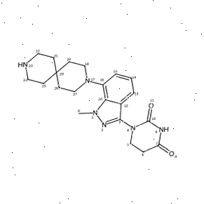 Cn1nc(N2CCC(=O)NC2=O)c2cccc(N3CCC4(CCNCC4)CC3)c21